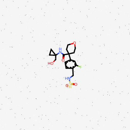 O=C(NC1(CO)CC1)C1(c2ccc(CN[SH](=O)=O)c(F)c2)CCOCC1